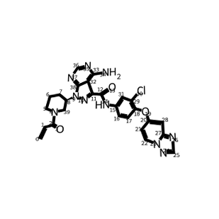 C=CC(=O)N1CCC[C@@H](n2nc(C(=O)Nc3ccc(Oc4ccn5ncnc5c4)c(Cl)c3)c3c(N)ncnc32)C1